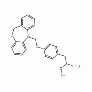 CCOC(Cc1ccc(OCN2c3ccccc3COc3ccccc32)cc1)C(=O)O